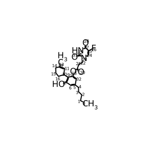 CCCCCc1cc(O)c(C2C=C(C)CCC2)c(OC(=O)CCn2cc(F)c(=O)[nH]c2=O)c1